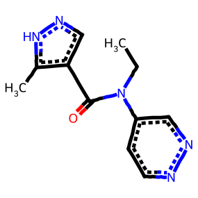 CCN(C(=O)c1cn[nH]c1C)c1ccnnc1